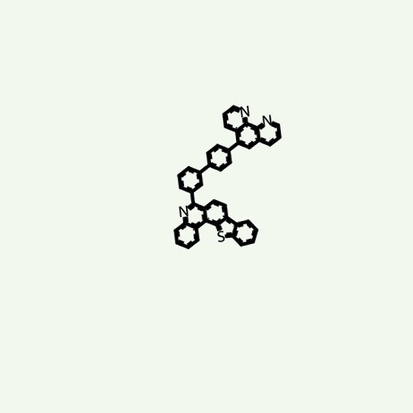 c1cc(-c2ccc(-c3cc4cccnc4c4ncccc34)cc2)cc(-c2nc3ccccc3c3c2ccc2c4ccccc4sc23)c1